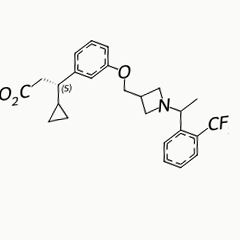 CC(c1ccccc1C(F)(F)F)N1CC(COc2cccc([C@@H](CC(=O)O)C3CC3)c2)C1